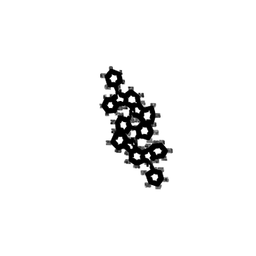 c1ccc(-n2c3ccccc3c3c2ccc2c4ccccc4n(-c4ccccc4-c4ccccc4-n4c5ccccc5c5ccc6c(c7ccccc7n6-c6ccccc6)c54)c23)cc1